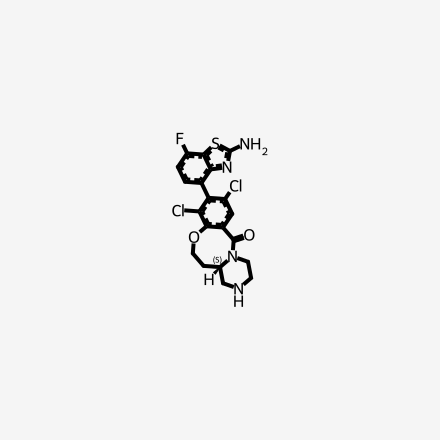 Nc1nc2c(-c3c(Cl)cc4c(c3Cl)OCC[C@H]3CNCCN3C4=O)ccc(F)c2s1